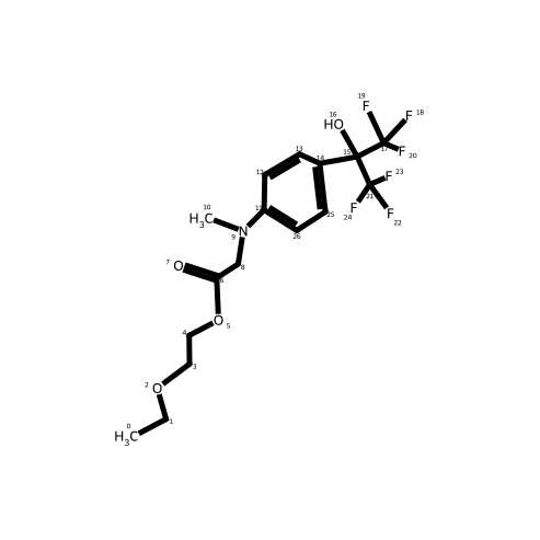 CCOCCOC(=O)CN(C)c1ccc(C(O)(C(F)(F)F)C(F)(F)F)cc1